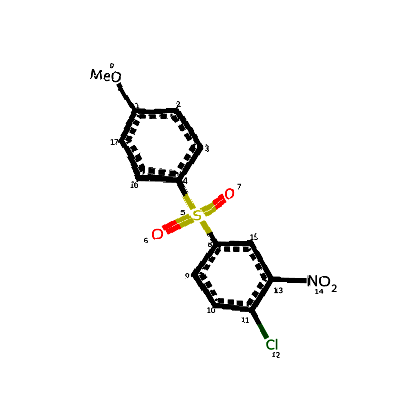 COc1ccc(S(=O)(=O)c2ccc(Cl)c([N+](=O)[O-])c2)cc1